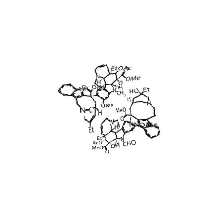 CCC1=C[C@@H]2C[N@](C1)Cc1c([nH]c3ccccc13)[C@@](C(=O)OC)(c1cc3c(cc1OC)N(C)[C@H]1[C@@](O)(C(=O)OC)[C@H](OC(C)=O)[C@]4(CC)C=CCN5CC[C@]31[C@@H]54)C2.CC[C@]1(O)C[C@H]2C[N@](CCc3c([nH]c4ccccc34)[C@@](C(=O)OC)(c3cc4c(cc3OC)N(C=O)[C@H]3[C@@](O)(C(=O)OC)[C@H](OC(C)=O)[C@]5(CC)C=CCN6CC[C@]43[C@@H]65)C2)C1